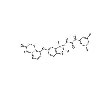 O=C1CCc2c(Oc3ccc4c(c3)[C@H]3[C@H](NC(=O)Nc5cc(F)cc(F)c5)[C@H]3O4)ccnc2N1